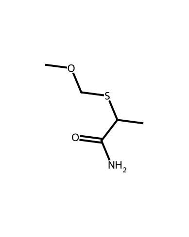 COCSC(C)C(N)=O